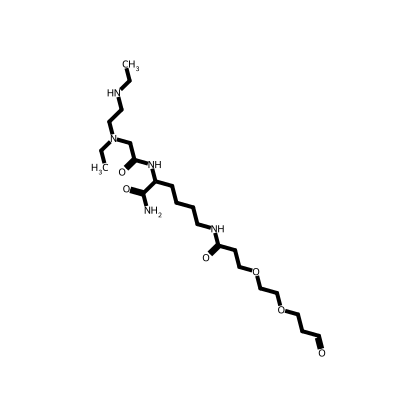 CCNCCN(CC)CC(=O)NC(CCCCNC(=O)CCOCCOCCC=O)C(N)=O